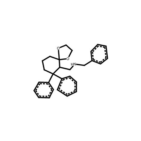 c1ccc(CNCC2C3(CCCC2(c2ccccc2)c2ccccc2)OCCO3)cc1